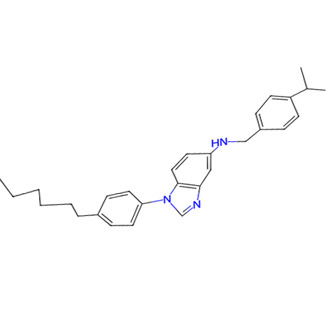 CCCCCCc1ccc(-n2cnc3cc(NCc4ccc(C(C)C)cc4)ccc32)cc1